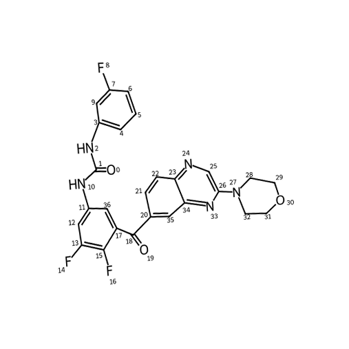 O=C(Nc1cccc(F)c1)Nc1cc(F)c(F)c(C(=O)c2ccc3ncc(N4CCOCC4)nc3c2)c1